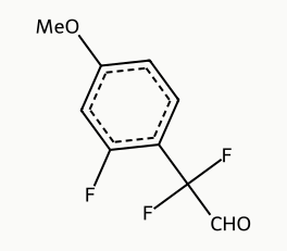 COc1ccc(C(F)(F)C=O)c(F)c1